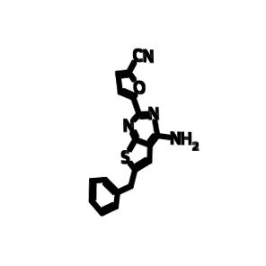 N#Cc1ccc(-c2nc(N)c3cc(Cc4ccccc4)sc3n2)o1